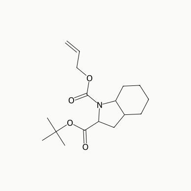 C=CCOC(=O)N1C(C(=O)OC(C)(C)C)CC2CCCCC21